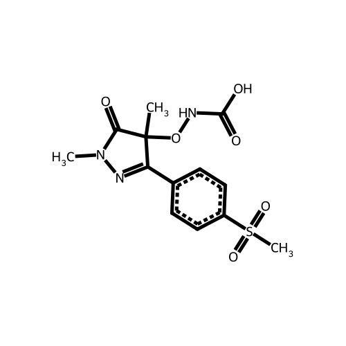 CN1N=C(c2ccc(S(C)(=O)=O)cc2)C(C)(ONC(=O)O)C1=O